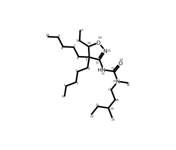 CCCCCC1(CCCCC)C(NC(=O)N(C)CCC(C)CC)=NOC1CC